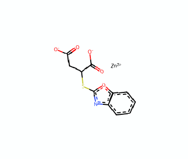 O=C([O-])CC(Sc1nc2ccccc2o1)C(=O)[O-].[Zn+2]